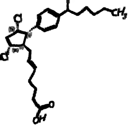 CCCCCC(O)c1ccc([C@@H]2[C@@H](CC=CCCCC(=O)O)[C@H](Cl)C[C@@H]2Cl)cc1